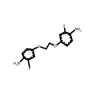 Nc1ccc(OCCOc2ccc(N)c(F)c2)cc1F